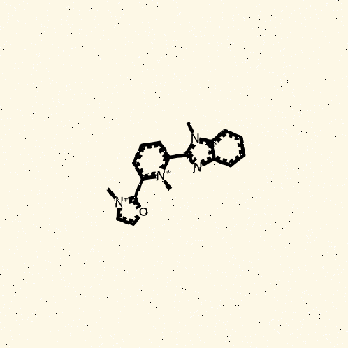 Cn1c(-c2cccc(-c3occ[n+]3C)[n+]2C)nc2ccccc21